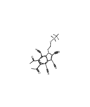 CC(=O)c1c(C#N)c2c(c(C#N)c1C(C)=O)C(CCO[Si](C)(C)C(C)(C)C)C(C#N)=C2C#N